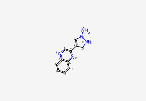 NN1C=C(c2cnc3ccccc3n2)CN1